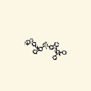 c1ccc(-c2cc(-n3c4ccccc4c4cc(-c5nccc(-c6ccc7c8ccccc8n(-c8ccc9oc%10ccncc%10c9c8)c7c6)n5)ccc43)nc(-c3ccccc3)n2)cc1